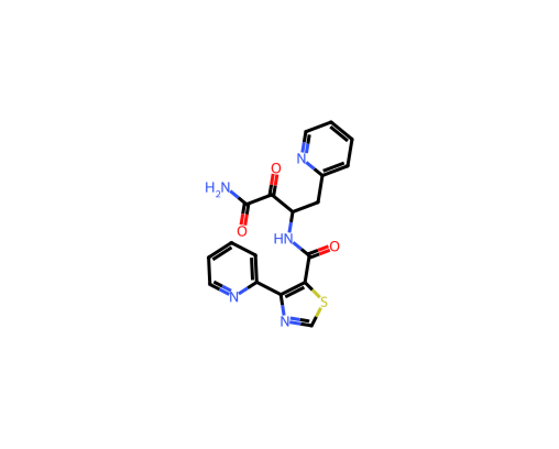 NC(=O)C(=O)C(Cc1ccccn1)NC(=O)c1scnc1-c1ccccn1